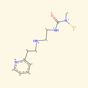 CN(S)C(=O)NCCNCCc1ccccn1